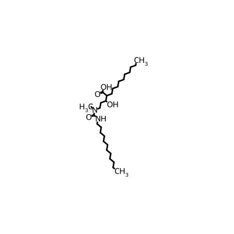 CCCCCCCCCCCCNC(=O)N(C)CCC(O)C(CCCCCCCCCC)C(=O)O